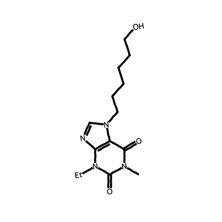 CCn1c(=O)n(C)c(=O)c2c1ncn2CCCCCCO